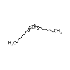 CCCCCCCS[S][Zn][S]SCCCCCCC